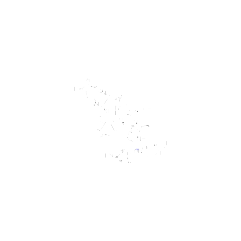 CC(C)(O/N=C(\C(=O)NC1C(=O)N2C(C(=O)O)=C(CNC(=O)c3nc4cc(O)c(O)cc4nc3NCc3ccccc3)CS[C@@H]12)c1csc(N)n1)C(=O)O